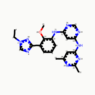 CCn1cnc(-c2cccc(Nc3cc(Nc4cc(C)nc(C)n4)ncn3)c2OC)n1